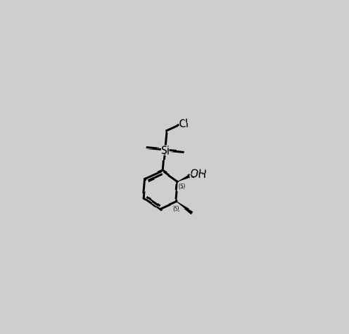 C[C@H]1C=CC=C([Si](C)(C)CCl)[C@H]1O